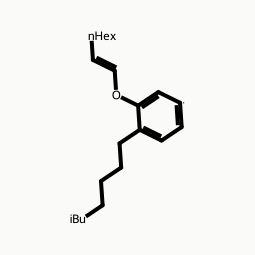 CCCCCCC=COc1c[c]ccc1CCCCC(C)CC